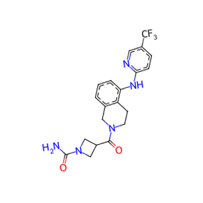 NC(=O)N1CC(C(=O)N2CCc3c(cccc3Nc3ccc(C(F)(F)F)cn3)C2)C1